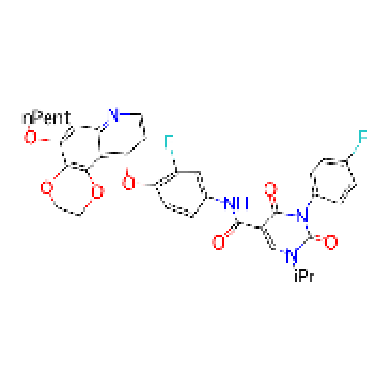 CCCCCOc1cc2nccc(Oc3ccc(NC(=O)c4cn(C(C)C)c(=O)n(-c5ccc(F)cc5)c4=O)cc3F)c2c2c1OCCO2